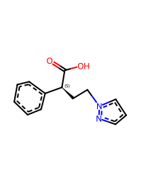 O=C(O)[C@@H](CCn1cccn1)c1ccccc1